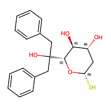 O[C@H]1[C@H](O)C[C@H](S)O[C@@H]1C(O)(Cc1ccccc1)Cc1ccccc1